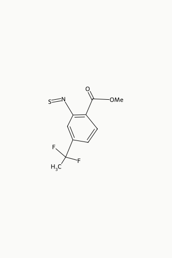 COC(=O)c1ccc(C(C)(F)F)cc1N=S